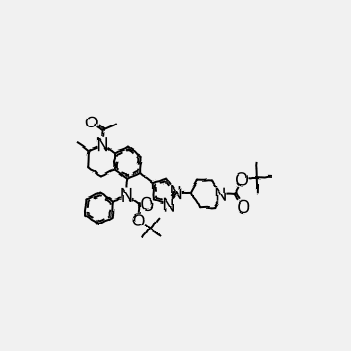 CC(=O)N1c2ccc(-c3cnn(C4CCN(C(=O)OC(C)(C)C)CC4)c3)c(N(C(=O)OC(C)(C)C)c3ccccc3)c2CCC1C